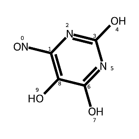 O=Nc1nc(O)nc(O)c1O